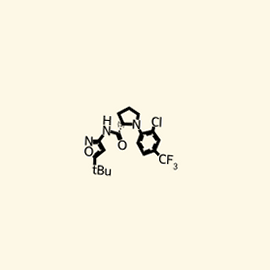 CC(C)(C)c1cc(NC(=O)[C@@H]2CCCN2c2ccc(C(F)(F)F)cc2Cl)no1